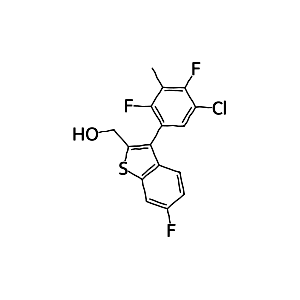 Cc1c(F)c(Cl)cc(-c2c(CO)sc3cc(F)ccc23)c1F